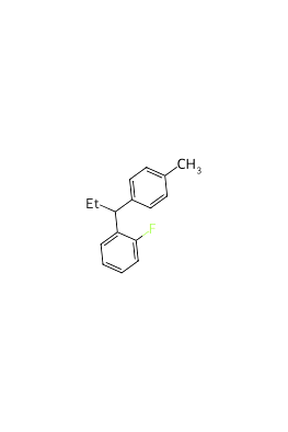 CCC(c1ccc(C)cc1)c1ccccc1F